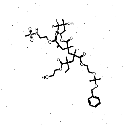 CCC(C)(CC(C)(CC(C)(CC(C)(C)C(=O)OCCNS(C)(=O)=O)C(=O)OC(C)CC(C)(O)C(F)(F)F)C(=O)OCCOC(C)(C)OCc1ccccc1)C(=O)OCCO